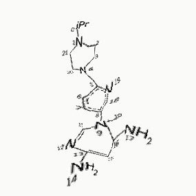 CC(C)N1CCN(c2ccc([N+]3(C)C=NC(N)=CC3N)cn2)CC1